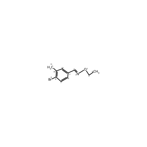 CCO/N=C/c1ccc(Br)c(C)c1